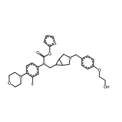 O=C(Oc1cccs1)N(CC1C2CN(Cc3ccc(OCCO)cc3)CC21)c1ccc(N2CCOCC2)c(F)c1